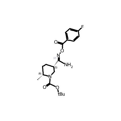 C[C@@H]1CC[C@H](/C(N)=N/OC(=O)c2ccc(F)cc2)CN1C(=O)OC(C)(C)C